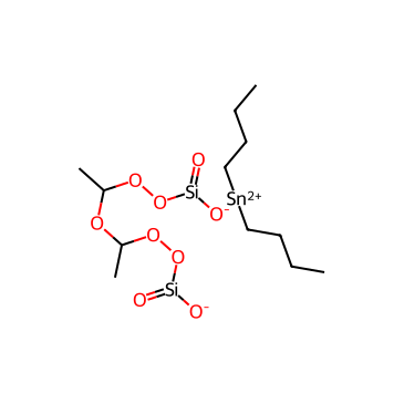 CC(OO[Si](=O)[O-])OC(C)OO[Si](=O)[O-].CCC[CH2][Sn+2][CH2]CCC